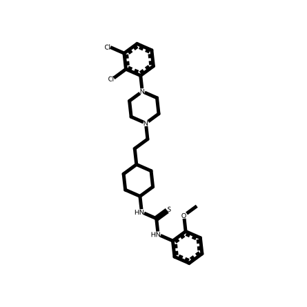 COc1ccccc1NC(=S)NC1CCC(CCN2CCN(c3cccc(Cl)c3Cl)CC2)CC1